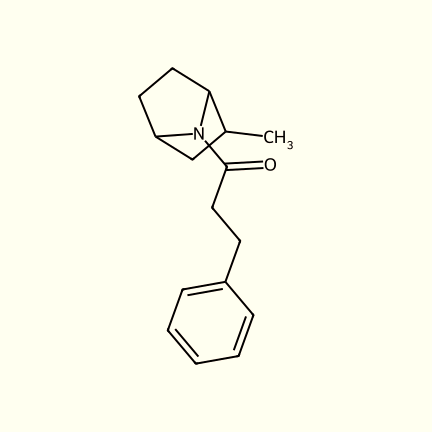 CC1CC2CCC1N2C(=O)CCc1ccccc1